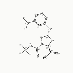 CN(C)c1cccc(O[C@@H]2C[C@@H](C(=O)O)N(C(=O)OC(C)(C)C)C2)c1